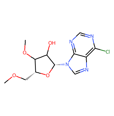 COC[C@H]1O[C@@H](n2cnc3c(Cl)ncnc32)C(O)C1OC